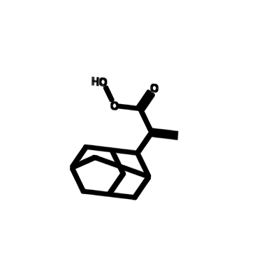 C=C(C(=O)OO)C1C2CC3CC(C2)CC1C3